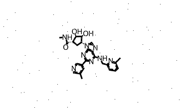 CNC(=O)[C@H]1C[C@@H](n2cnc3c(NCc4cccc(C)n4)nc(-c4cncc(C)c4)nc32)[C@H](O)[C@@H]1O